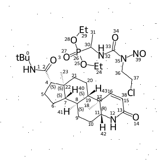 CC(C)(C)NC(=O)[C@H]1CC[C@H]2[C@@H]3CC[C@H]4NC(=O)C=C[C@]4(C)[C@H]3CC[C@]12C.CCOP(=O)(OCC)C(C)NC(=O)N(CCCl)N=O